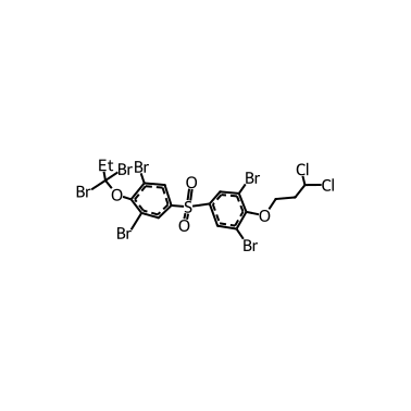 CCC(Br)(Br)Oc1c(Br)cc(S(=O)(=O)c2cc(Br)c(OCCC(Cl)Cl)c(Br)c2)cc1Br